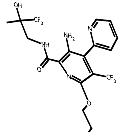 COCCOc1nc(C(=O)NCC(C)(O)C(F)(F)F)c(N)c(-c2ccccn2)c1C(F)(F)F